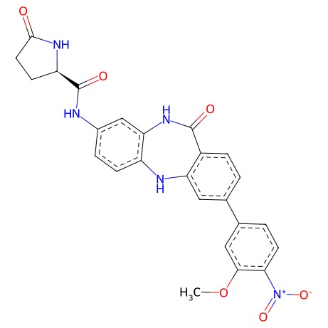 COc1cc(-c2ccc3c(c2)Nc2ccc(NC(=O)[C@H]4CCC(=O)N4)cc2NC3=O)ccc1[N+](=O)[O-]